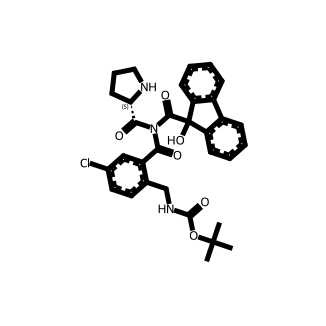 CC(C)(C)OC(=O)NCc1ccc(Cl)cc1C(=O)N(C(=O)[C@@H]1CCCN1)C(=O)C1(O)c2ccccc2-c2ccccc21